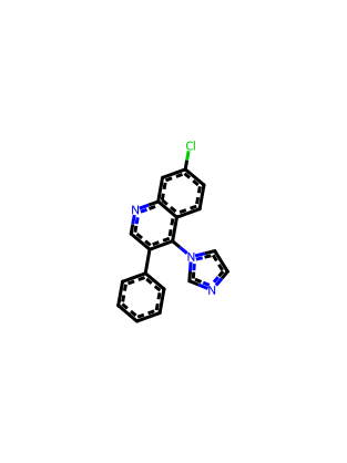 Clc1ccc2c(-n3ccnc3)c(-c3ccccc3)cnc2c1